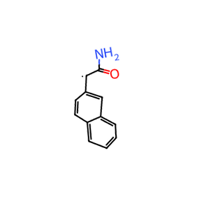 NC(=O)[CH]c1ccc2ccccc2c1